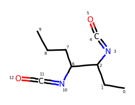 C[CH]C(N=C=O)C(CCC)N=C=O